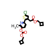 Cc1nc(-c2sc(Cl)cc2CC(=O)OCC2CCC2)ccc1OC(=O)OCC1CCC1